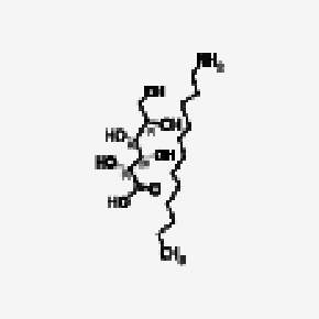 CCCCCCCCCCCCN.O=C(O)[C@H](O)[C@@H](O)[C@H](O)[C@H](O)CO